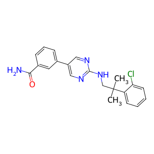 CC(C)(CNc1ncc(-c2cccc(C(N)=O)c2)cn1)c1ccccc1Cl